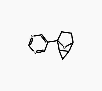 c1ncc(C23CCC(O2)C2CC23)cn1